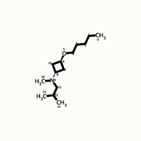 CCCCCO[C@H]1C[C@H](N(C)CC(C)C)C1